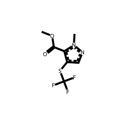 COC(=O)c1c(SC(F)(F)F)cnn1C